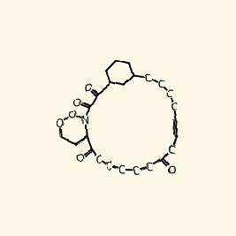 O=C1CC=CCCCCC2CCCC(C2)C(=O)C(=O)N2OOCCC2C(=O)CCCCC1